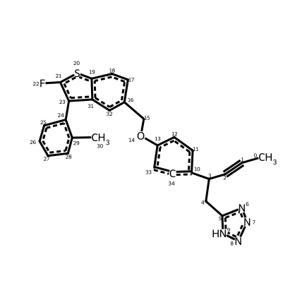 CC#CC(Cc1nnn[nH]1)c1ccc(OCc2ccc3sc(F)c(-c4ccccc4C)c3c2)cc1